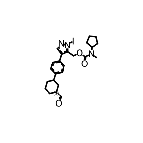 CN(C(=O)OCc1c(-c2ccc(C3CCC[C@H](C=O)C3)cc2)cnn1I)C1CCCC1